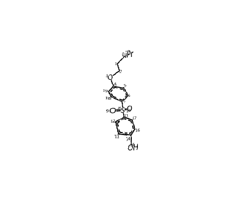 CC(C)CCOc1ccc(S(=O)(=O)c2ccc(O)cc2)cc1